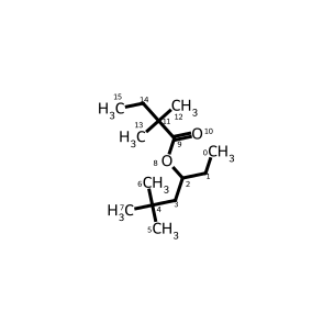 CCC(CC(C)(C)C)OC(=O)C(C)(C)CC